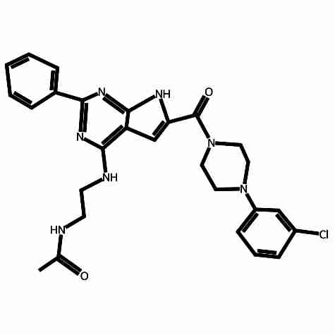 CC(=O)NCCNc1nc(-c2ccccc2)nc2[nH]c(C(=O)N3CCN(c4cccc(Cl)c4)CC3)cc12